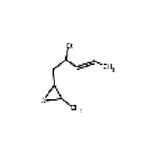 C/C=C/C(CC)CC1OC1C